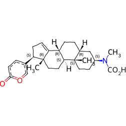 CN(C(=O)O)[C@H]1CC[C@@]2(C)[C@H](CC[C@H]3C4=CC[C@H](c5ccc(=O)oc5)[C@@]4(C)CC[C@@H]32)C1